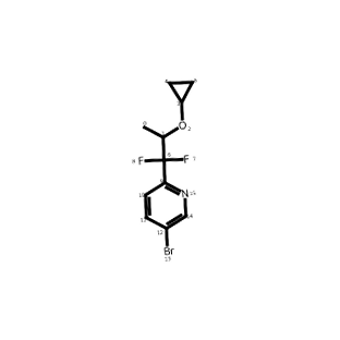 CC(OC1CC1)C(F)(F)c1ccc(Br)cn1